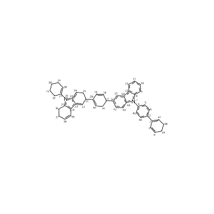 C1=CC(c2ccc(-n3c4ccccc4c4cc(C5C=CC(C6C=c7c8c(n(C9=CCCCC9)c7=CC6)CCC=C8)=CC5)ccc43)cc2)=CCC1